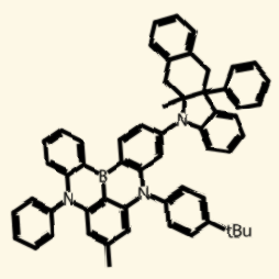 Cc1cc2c3c(c1)N(c1ccc(C(C)(C)C)cc1)c1cc(N4c5ccccc5C5(c6ccccc6)Cc6ccccc6CC45C)ccc1B3c1ccccc1N2c1ccccc1